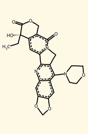 CC[C@@]1(O)C(=O)OCc2c1cc1n(c2=O)Cc2c-1nc1cc3c(cc1c2N1CCOCC1)OCO3